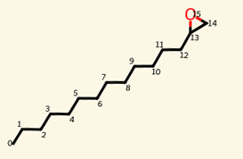 CCCCCCCCCCCCCC1CO1